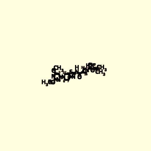 COc1cc(N2CCc3nc(NC(=O)C4CN(C(=O)OC(C)(C)C)C4)sc3C2)nc(OC)n1